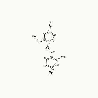 O=Cc1cc(Cl)ccc1OCc1ccc(Br)cc1F